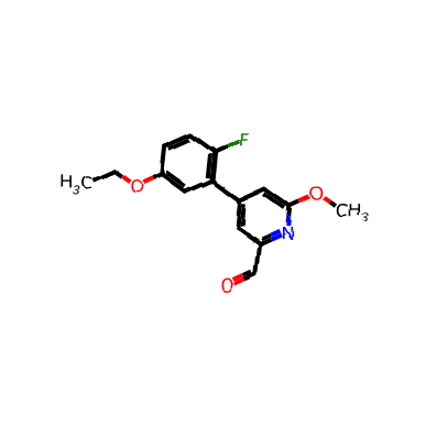 CCOc1ccc(F)c(-c2cc(C=O)nc(OC)c2)c1